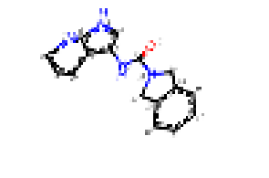 O=C(Nc1c[nH]c2ncccc12)N1Cc2ccccc2C1